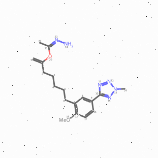 C=C(CCCCCc1cc(-c2nnn(C)n2)ccc1OC)O/C(C)=N\N